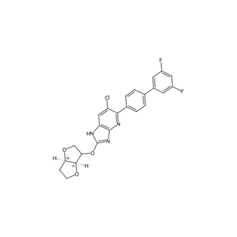 Fc1cc(F)cc(-c2ccc(-c3nc4nc(OC5CO[C@@H]6CCO[C@H]56)[nH]c4cc3Cl)cc2)c1